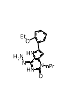 CCCn1c(=O)[nH]/c(=N/N)c2[nH]c(-c3ccccc3OCC)cc21